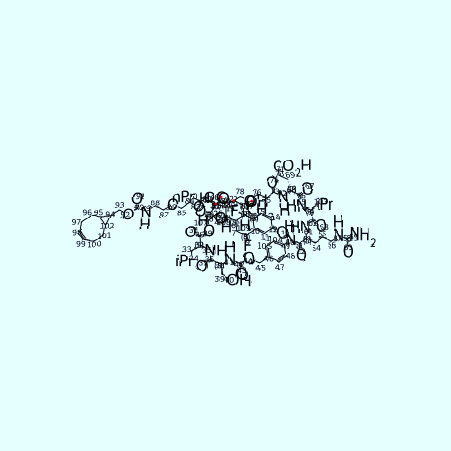 CCCC1O[C@@H]2C[C@H]3[C@@H]4C[C@H](F)C5=CC(=O)C=C[C@]5(C)[C@@]4(F)[C@@H](O)C[C@]3(C)[C@]2(C(=O)COC(=O)[C@H](CC(C)C)NC(=O)[C@H](CO)NC(=O)OCc2ccc(NC(=O)[C@H](CCCNC(N)=O)NC(=O)[C@@H](NC(=O)[C@@H](CCC(=O)O)NC(=O)CCOCCOCCOCCOCCNC(=O)OCC3C4CCC#CCCC43)C(C)C)cc2)O1